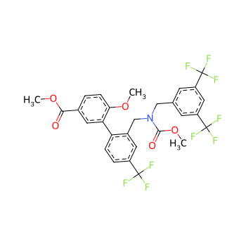 COC(=O)c1ccc(OC)c(-c2ccc(C(F)(F)F)cc2CN(Cc2cc(C(F)(F)F)cc(C(F)(F)F)c2)C(=O)OC)c1